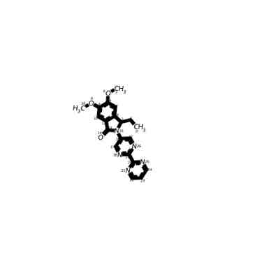 CCC1c2cc(OC)c(OC)cc2C(=O)N1c1cnc(-c2ncccn2)nc1